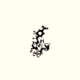 CC(C)c1ccc([C@H](C)Nc2ncc(F)c(N3C(=O)OC[C@@H]3[C@@H](C)OC(C)(C)C)n2)c(F)c1